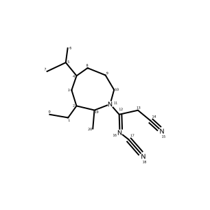 CCC1CC(C(C)C)CCCN(C(CC#N)=NC#N)C1C